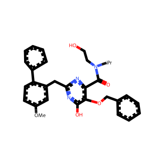 COc1ccc(-c2ccccc2)c(Cc2nc(O)c(OCc3ccccc3)c(C(=O)N(CCO)C(C)C)n2)c1